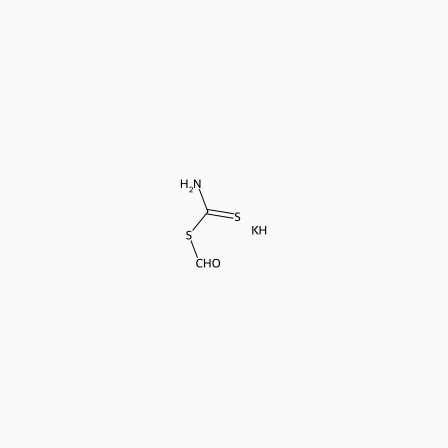 NC(=S)SC=O.[KH]